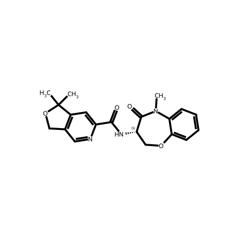 CN1C(=O)[C@@H](NC(=O)c2cc3c(cn2)COC3(C)C)COc2ccccc21